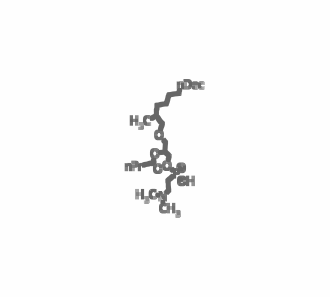 CCCCCCCCCCCCCCC(C)COCC(COP(=O)(O)CCN(C)C)OC(=O)CCC